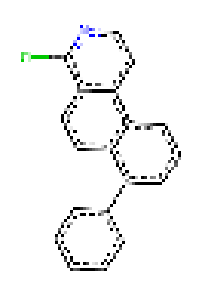 Clc1nccc2c1ccc1c(-c3ccccc3)cccc12